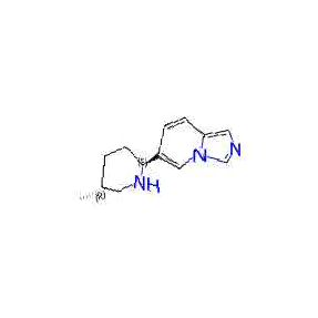 C[C@@H]1CC[C@@H](c2ccc3cncn3c2)NC1